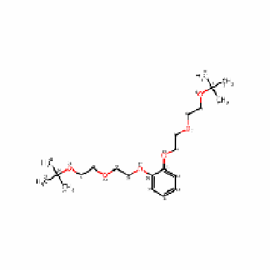 CC(C)(C)OCCOCCOc1ccccc1OCCOCCOC(C)(C)C